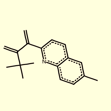 C=C(C(=C)C(C)(C)C)c1ccc2cc(C)ccc2n1